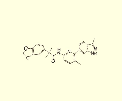 Cc1ccc(NC(=O)C(C)(C)c2ccc3c(c2)OCO3)nc1-c1ccc2c(C)n[nH]c2c1